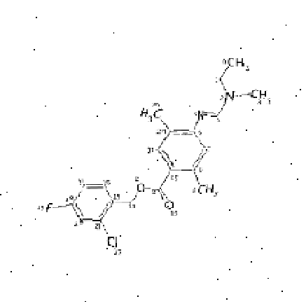 CCN(C)/C=N/c1cc(C)c(C(=O)OCc2ccc(F)cc2Cl)cc1C